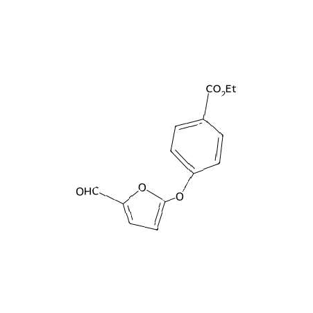 CCOC(=O)c1ccc(Oc2ccc(C=O)o2)cc1